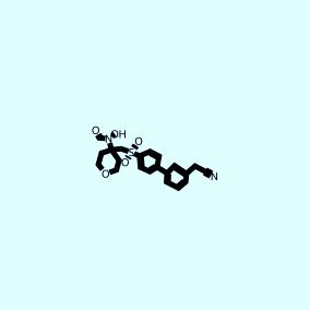 N#CCc1cccc(-c2ccc(S(=O)(=O)CC3(N(O)C=O)CCOCC3)cc2)c1